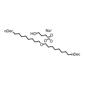 CCCCCCCCCCCCCCCCCCOCCCCCCCCCCCCCCCCCC.O=S(=O)([O-])CCCO.[Na+]